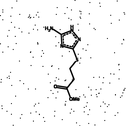 COC(=O)CCSc1n[nH]c(N)n1